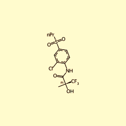 CCCS(=O)(=O)c1ccc(NC(=O)[C@@](C)(O)C(F)(F)F)c(Cl)c1